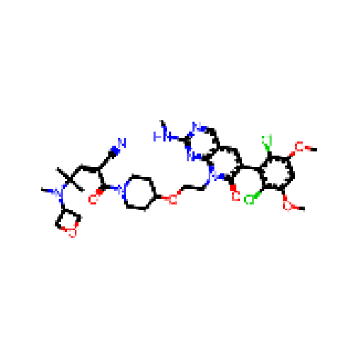 CNc1ncc2cc(-c3c(Cl)c(OC)cc(OC)c3Cl)c(=O)n(CCOC3CCN(C(=O)/C(C#N)=C\C(C)(C)N(C)C4COC4)CC3)c2n1